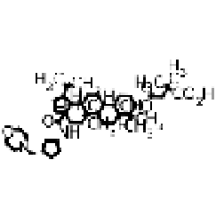 C=C(C)C1CCC2(C(=O)N[C@@H]3CC[C@H](CN4CCOCC4)C3)CCC3(C)[C@H](CC[C@@H]4[C@@]5(C)CC[C@H](OC(=O)CC(C)(C)C(=O)O)C(C)(C)[C@@H]5CC[C@]43C)[C@@H]12